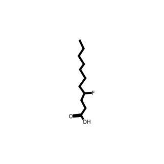 CCCCCCCC(F)CCC(=O)O